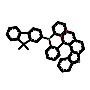 CC1(C)c2ccccc2-c2ccc(N(c3ccccc3)c3ccccc3-c3cccc4ccc5oc6ccccc6c5c34)cc21